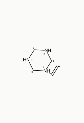 C1NCNCN1.C=C